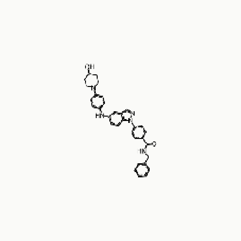 O=C(NCc1ccccc1)c1ccc(-n2ncc3cc(Nc4ccc(N5CCC(O)CC5)cc4)ccc32)cc1